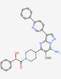 Nc1c(C=O)c(C2CCN(C(=O)[C@H](O)c3ccccc3)CC2)nc2c(-c3ccc(-c4ccccc4)nc3)cnn12